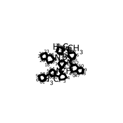 CC12CCCCC1(C)N(c1cc3c4c(c1)N(c1ccc5ccccc5c1)c1cccc5c1B4c1c(cccc1[Si]5(C)C)N3c1ccc3ccccc3c1)c1ccc(-c3ccccc3)cc12